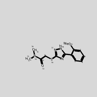 COc1ccccc1-c1nc(SCC(=O)N(C)C)n[nH]1